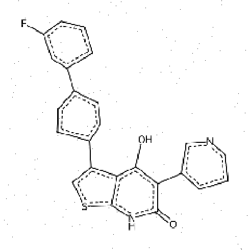 O=c1[nH]c2scc(-c3ccc(-c4cccc(F)c4)cc3)c2c(O)c1-c1cccnc1